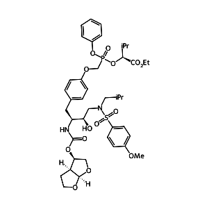 CCOC(=O)[C@@H](OP(=O)(COc1ccc(C[C@H](NC(=O)O[C@H]2CO[C@H]3OCC[C@H]32)[C@H](O)CN(CC(C)C)S(=O)(=O)c2ccc(OC)cc2)cc1)Oc1ccccc1)C(C)C